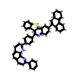 c1ccc(-c2ccc3ccc4ccc(-c5ccc(-c6nc7ccc(-c8cc9ccccc9c9ccccc89)cc7c7sc8ccccc8c67)cc5)nc4c3n2)cc1